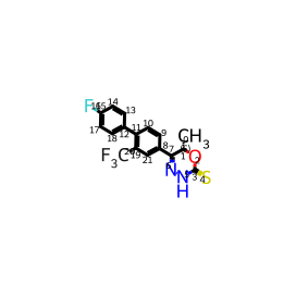 C[C@@H]1OC(=S)NN=C1c1ccc(-c2ccc(F)cc2)c(C(F)(F)F)c1